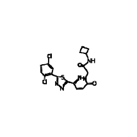 O=C(Cn1nc(-c2nnc(-c3cc(Cl)ccc3Cl)s2)ccc1=O)NC1CCC1